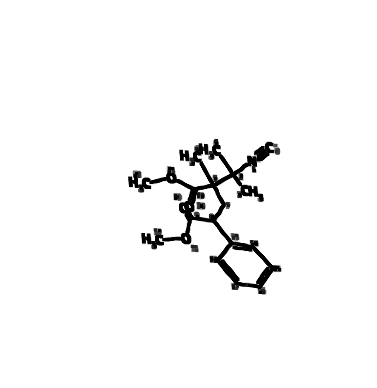 [C-]#[N+]C(C)(C)C(C)(CC(C(=O)OC)c1ccccc1)C(=O)OC